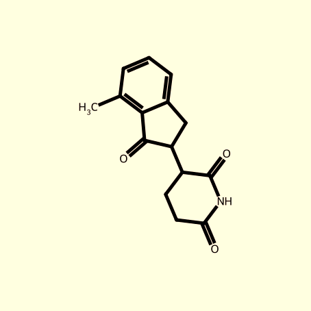 Cc1cccc2c1C(=O)C(C1CCC(=O)NC1=O)C2